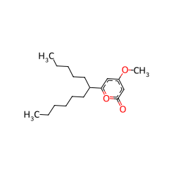 CCCCCCC(CCCCC)c1cc(OC)cc(=O)o1